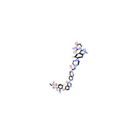 CCN(C)S(=O)(=O)Nc1ccc(F)c(Oc2ccc3ncn(C4CCC5(CC4)CCN(C(=O)CN4CCN(c6cc7c(cc6F)c(N6CCC(=O)NC6=O)nn7C)CC4)CC5)c(=O)c3c2)c1C#N